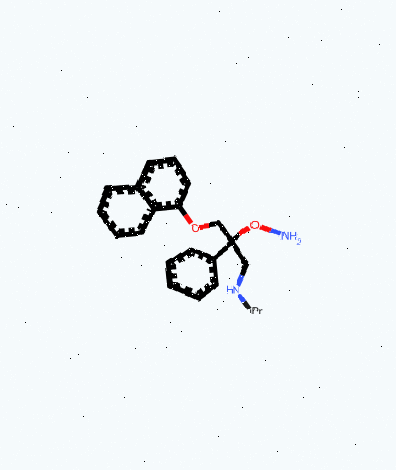 CC(C)NCC(COc1cccc2ccccc12)(ON)c1ccccc1